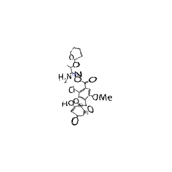 COc1cc(C(=O)O/N=C(\N)C(C)OC2CCCCO2)c(Cl)c2c1C(=O)[C@@]1(O2)C(O)=CC(=O)C[C@H]1C